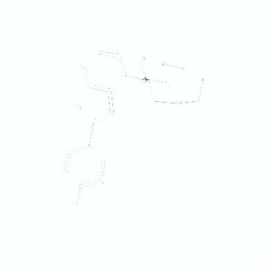 CC(C)COC(=O)N1C2CCC1CN(c1ncnc3[nH]c(-c4ccc(C(F)(F)F)nc4)cc13)C2